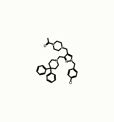 CC(=O)N1CCN(Cc2cn(Cc3ccc(Cl)cc3)nc2CN2CCC(c3ccccc3)(c3ccccc3)CC2)CC1